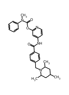 CC1CC(C)N(Cc2ccc(C(=O)Nc3ccnc(OC(=O)N(C)c4ccccc4)c3)cc2)C(C)C1